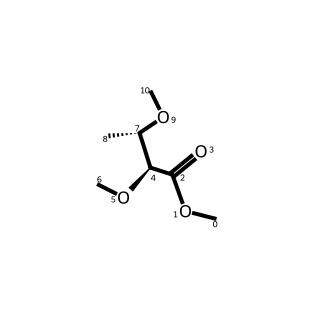 COC(=O)[C@@H](OC)[C@H](C)OC